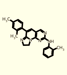 Cc1ccc(C2=Cc3cnc(Nc4ccccc4C)nc3N3CCN=C23)c(C)c1